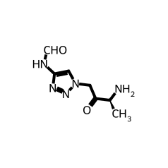 C[C@H](N)C(=O)Cn1cc(NC=O)nn1